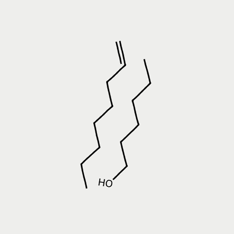 C=CCCCCCC.CCCCCCO